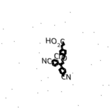 N#Cc1ccc(C(=CCOc2ccc(CCC(=O)O)cc2Cl)c2ccc(C#N)cc2)cc1